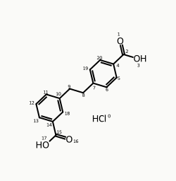 Cl.O=C(O)c1ccc(CCc2cccc(C(=O)O)c2)cc1